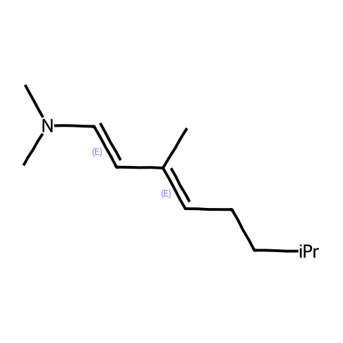 CC(/C=C/N(C)C)=C\CCC(C)C